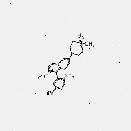 Cc1ccc(C(C)C)cc1-c1c2ccc(C3CC[Si](C)(C)CC3)cc2cc[n+]1C